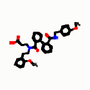 COc1ccc(CNC(=O)c2ccccc2-c2ccccc2C(=O)N(CCC(=O)O)CCc2ccccc2OC)cc1